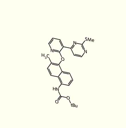 CSc1nccc(-c2cccnc2Oc2c(C)ccc3c(NC(=O)OC(C)(C)C)cccc23)n1